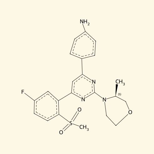 C[C@H]1COCCN1c1nc(-c2ccc(N)cc2)cc(-c2cc(F)ccc2S(C)(=O)=O)n1